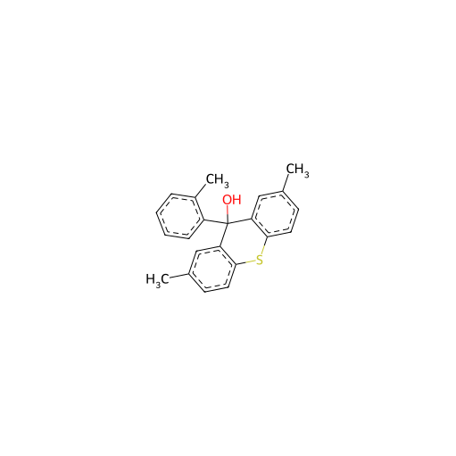 Cc1ccc2c(c1)C(O)(c1ccccc1C)c1cc(C)ccc1S2